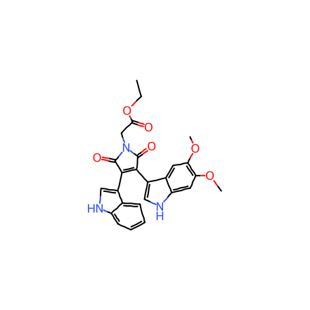 CCOC(=O)CN1C(=O)C(c2c[nH]c3ccccc23)=C(c2c[nH]c3cc(OC)c(OC)cc23)C1=O